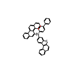 c1ccc(-c2ccc(N(c3ccc4c(c3)sc3ccc5ccccc5c34)c3cc4ccccc4c4ccc5ccccc5c34)cc2)cc1